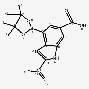 CC1(C)OB(c2cc(C(=O)O)cc3[nH]c([N+](=O)[O-])nc23)OC1(C)C